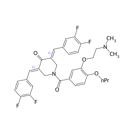 CCCOc1ccc(C(=O)N2C/C(=C\c3ccc(F)c(F)c3)C(=O)/C(=C/c3ccc(F)c(F)c3)C2)cc1OCCN(C)C